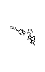 C[C@H](Cn1cnc2c(N)ncnc21)OCP1(=O)OCC(CC(=O)O)CO1